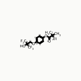 CCC(C)(C)C(=O)Oc1ccc(OCC(O)(C(F)(F)F)C(F)(F)F)cc1